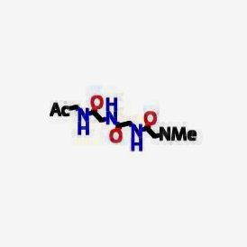 CNCC(=O)NCC(=O)NCC(=O)NCC(C)=O